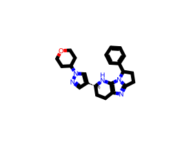 c1ccc(C2CCc3nc4c(n32)N[C@@H](c2cnn(C3CCOCC3)c2)CC4)cc1